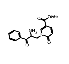 COC(=O)c1ccc(=O)n(CC(N)C(=O)c2ccccc2)c1